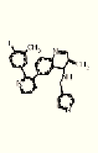 C=C1C=Nc2ccc(-c3cccnc3-c3ccc(F)c(C)c3)cc2C1NCc1ccncc1